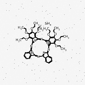 CCOc1c(OCC)c(OCC)c2c(c1OCC)-c1nc-2nc2[nH]c(nc3nc(nc4[nH]c(n1)c1ccccc41)-c1ccccc1-3)c1c(OCC)c(OCC)c(OCC)c(OCC)c21.[SiH4]